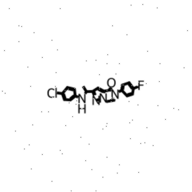 CC(Nc1ccc(Cl)cc1)c1cc2n(n1)CCN(c1ccc(F)cc1)C2=O